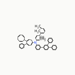 C=C/C=C\C=C(/C)C(C)/C=C\C(=C/C)N(C1=CC=C(c2ccccc2)C(C2/C=C\C=C/C/C=C\2)=CC1)c1cccc(-c2ccc(-c3ccccc3)c(-c3ccccc3)c2)c1